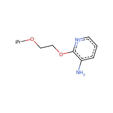 CC(C)OCCOc1ncccc1N